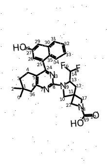 CC1(C)CCc2c(nc(N3CC4(CC3C(F)F)CN(C(=O)O)C4)nc2-c2cc(O)cc3ccccc23)C1